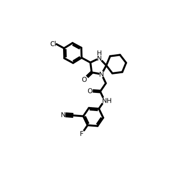 N#Cc1cc(NC(=O)CN2C(=O)C(c3ccc(Cl)cc3)NC23CCCCC3)ccc1F